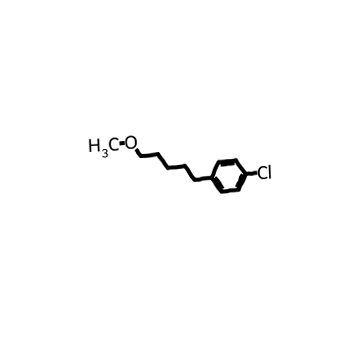 COCCCCCc1ccc(Cl)cc1